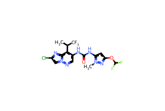 CC(c1c(NC(=O)Nc2cc(OC(F)F)nn2C)cnn2cc(Cl)nc12)C(F)(F)F